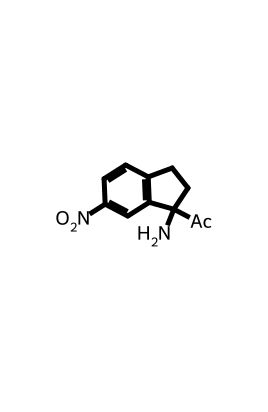 CC(=O)C1(N)CCc2ccc([N+](=O)[O-])cc21